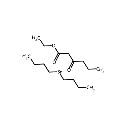 CCCC(=O)CC(=O)OCC.CCC[CH2][Sn][CH2]CCC